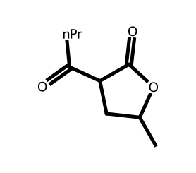 CCCC(=O)C1CC(C)OC1=O